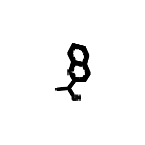 [CH2]C(O)c1ccc2ccccc2n1